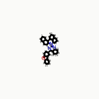 c1ccc2c3c(ccc2c1)N(c1nc(-c2ccc4oc5ccccc5c4c2)c2ccccc2n1)c1cccc2cccc-3c12